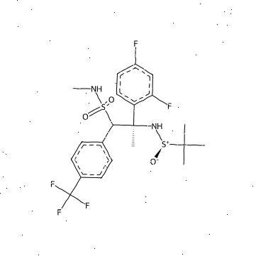 CNS(=O)(=O)C(c1ccc(C(F)(F)F)cc1)[C@](C)(N[S@+]([O-])C(C)(C)C)c1ccc(F)cc1F